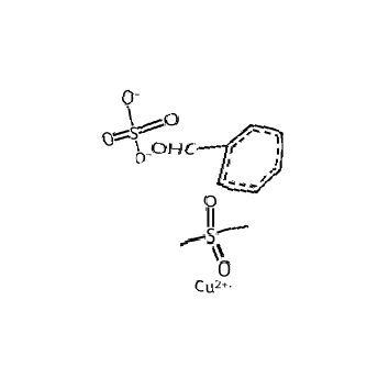 CS(C)(=O)=O.O=Cc1ccccc1.O=S(=O)([O-])[O-].[Cu+2]